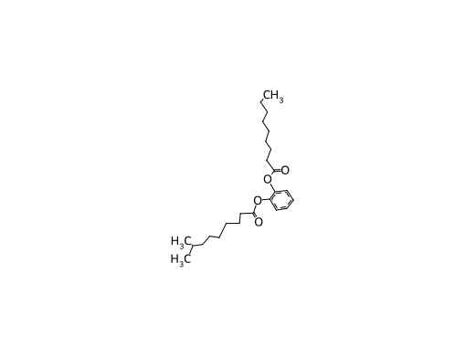 CCCCCCCCC(=O)Oc1ccccc1OC(=O)CCCCCCC(C)C